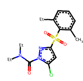 CCc1cccc(C)c1S(=O)(=O)c1cc(Cl)n(C(=O)N(CC)CC)n1